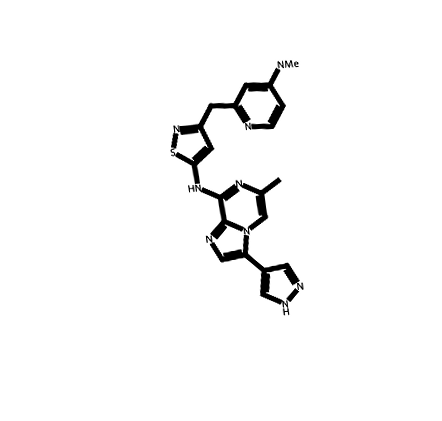 CNc1ccnc(Cc2cc(Nc3nc(C)cn4c(-c5cn[nH]c5)cnc34)sn2)c1